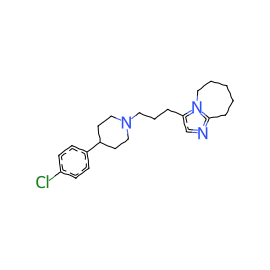 Clc1ccc(C2CCN(CCCc3cnc4n3CCCCC4)CC2)cc1